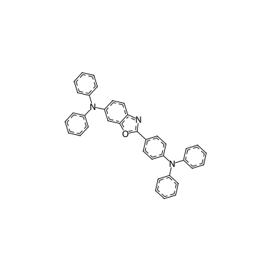 c1ccc(N(c2ccccc2)c2ccc(-c3nc4ccc(N(c5ccccc5)c5ccccc5)cc4o3)cc2)cc1